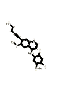 CCOc1cc2c(Nc3cc(OC)c(Cl)cc3Cl)ccnc2cc1C#CCCO